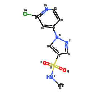 CCCNS(=O)(=O)c1cnn(-c2ccnc(Cl)c2)c1